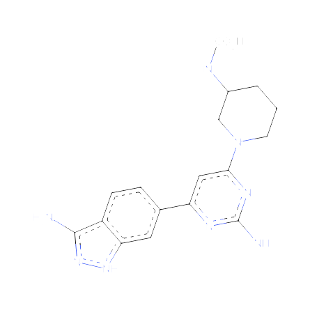 Nc1nc(-c2ccc3c(N)n[nH]c3c2)cc(N2CCCC(NC(=O)O)C2)n1